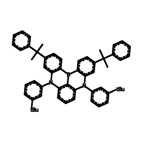 CC(C)(C)c1cccc(N2c3cc(C(C)(C)c4ccccc4)ccc3B3c4ccc(C(C)(C)c5ccccc5)cc4N(c4cccc(C(C)(C)C)c4)c4cccc2c43)c1